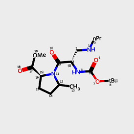 CCCNC[C@H](NC(=O)OC(C)(C)C)C(=O)N1C(C)CC[C@H]1C(=O)OC